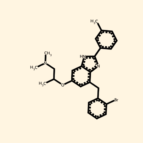 Cc1cccc(-c2nc3c(Cc4ccccc4Br)cc(OC(C)CN(C)C)cc3[nH]2)c1